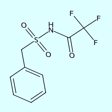 O=C(NS(=O)(=O)Cc1ccccc1)C(F)(F)F